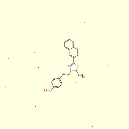 Cc1oc(-c2ccc3ccccc3c2)nc1C=Cc1ccc(C=O)cc1